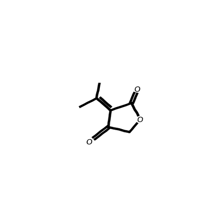 CC(C)=C1C(=O)COC1=O